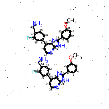 COc1cccc(-c2nc3c(-c4ccc(CN)c(F)c4)ccnc3[nH]2)c1.COc1cccc(-c2nc3c(-c4ccc(CN)c(F)c4)ccnc3[nH]2)c1